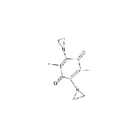 CC1=C(N2CC2)C(=O)C(C)=C(N2CC2)C1=O